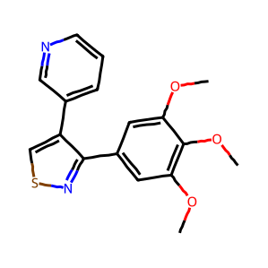 COc1cc(-c2nscc2-c2cccnc2)cc(OC)c1OC